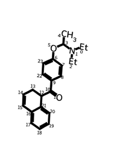 CCN(CC)C(C)Oc1ccc(C(=O)C2CC=Cc3ccccc32)cc1